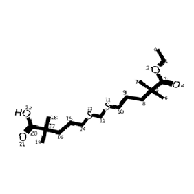 CCOC(=O)C(C)(C)CCCSCSCCCC(C)(C)C(=O)O